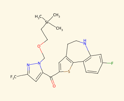 C[Si](C)(C)CCOCn1nc(C(F)(F)F)cc1C(=O)c1cc2c(s1)-c1ccc(F)cc1NCC2